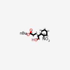 CCCCOC(=O)CC[C@@H](CO)[C@H]1CCCC[C@H]1[N+](=O)[O-]